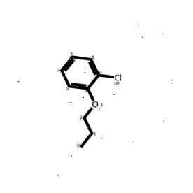 CCCOc1cc[c]cc1Cl